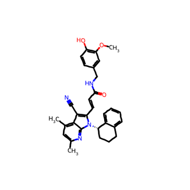 COc1cc(CNC(=O)/C=C/c2c(C#N)c3c(C)cc(C)nc3n2[C@H]2CCCc3ccccc32)ccc1O